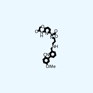 COc1ccc(C#N)c(-c2cccc(CNCCc3nn(-c4ccc5c(n4)NC(=O)CO5)c(=O)o3)c2)c1